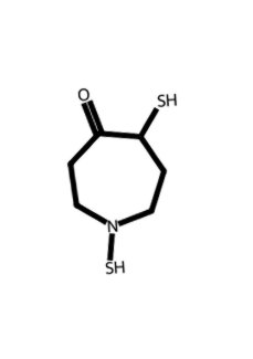 O=C1CCN(S)CCC1S